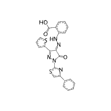 O=C(O)c1ccccc1N/N=C1/C(=O)N(c2nc(-c3ccccc3)cs2)N=C1c1cccs1